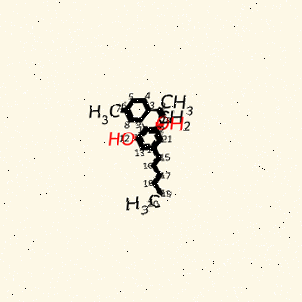 C=C(C)[C@@H]1CCC(C)=C[C@H]1c1c(O)cc(CCCCCC)cc1O